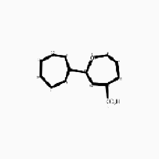 O=C(O)C1CCCOC(C2CCCCCC2)C1